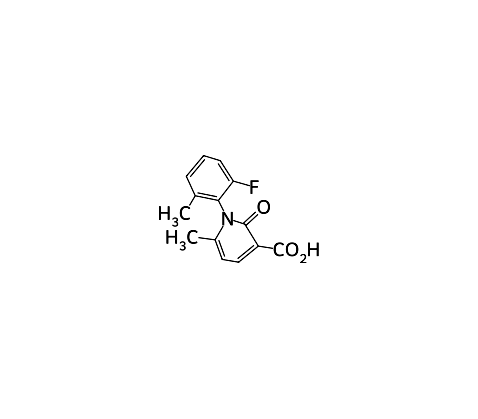 Cc1cccc(F)c1-n1c(C)ccc(C(=O)O)c1=O